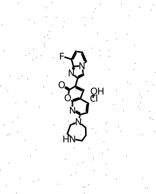 O=c1oc2nc(N3CCCNCC3)ccc2cc1-c1cn2cccc(F)c2n1.OCl